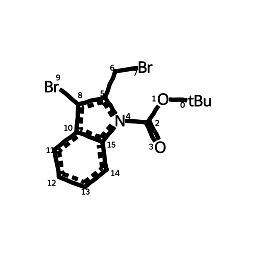 CC(C)(C)OC(=O)n1c(CBr)c(Br)c2ccccc21